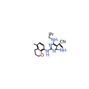 Cc1ccc(Nc2nc(NCC(C)C)c3c(C#N)c[nH]c3n2)c2c1CCCO2